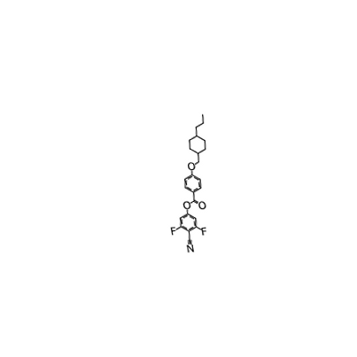 CCCC1CCC(COc2ccc(C(=O)Oc3cc(F)c(C#N)c(F)c3)cc2)CC1